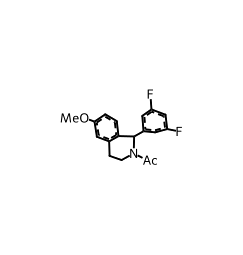 COc1ccc2c(c1)CCN(C(C)=O)C2c1cc(F)cc(F)c1